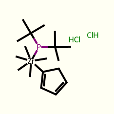 CC(C)(C)[P](C(C)(C)C)[Zr]([CH3])([CH3])([CH3])([CH3])([CH3])[C]1=CC=CC1.Cl.Cl